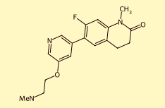 CNCCOc1cncc(-c2cc3c(cc2F)N(C)C(=O)CC3)c1